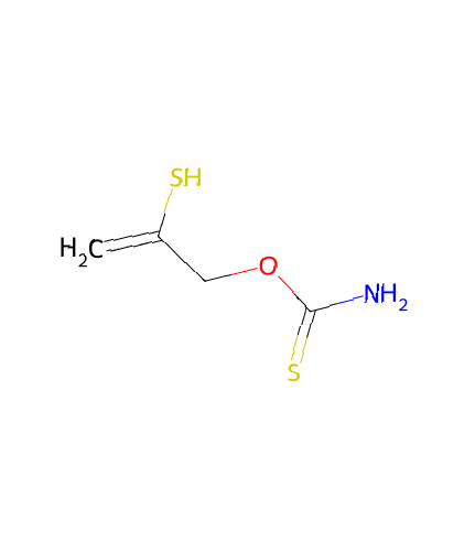 C=C(S)COC(N)=S